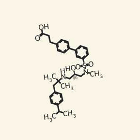 CC(C)c1ccc(CC(C)(C)NC[C@@H](O)CN(C)S(=O)(=O)c2cccc(-c3ccc(CCC(=O)O)cc3)c2)cc1